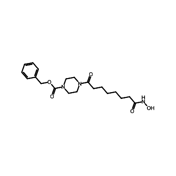 O=C(CCCCCCC(=O)N1CCN(C(=O)OCc2ccccc2)CC1)NO